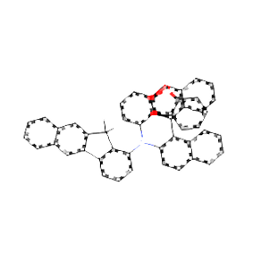 CC1(C)c2cc3ccccc3cc2-c2cccc(N(c3ccc4ccccc4c3-c3cccc4ccccc34)c3cccc4oc5ccccc5c34)c21